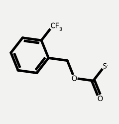 O=C([S])OCc1ccccc1C(F)(F)F